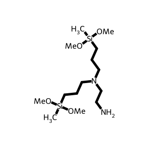 CO[Si](C)(CCCN(CCN)CCC[Si](C)(OC)OC)OC